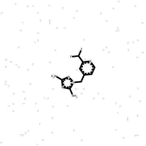 Nc1nc(N)n(Cc2ccnc(C(F)F)c2)n1